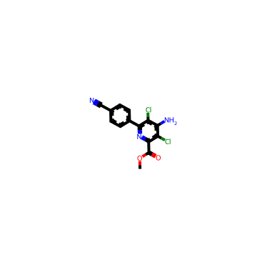 COC(=O)c1nc(-c2ccc(C#N)cc2)c(Cl)c(N)c1Cl